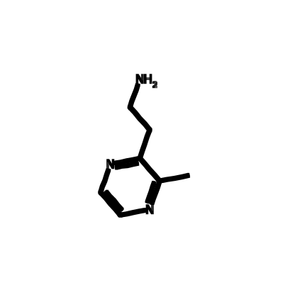 Cc1nccnc1CCN